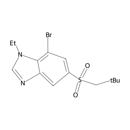 CCn1cnc2cc(S(=O)(=O)CC(C)(C)C)cc(Br)c21